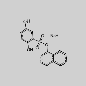 O=S(=O)(Oc1cccc2ccccc12)c1cc(O)ccc1O.[NaH]